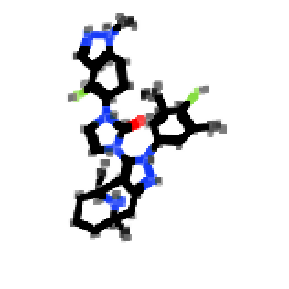 Cc1cc(-n2nc3c(c2-n2ccn(-c4ccc5c(cnn5C)c4F)c2=O)[C@@H]2CCC[C@H](C3)N2)cc(C)c1F